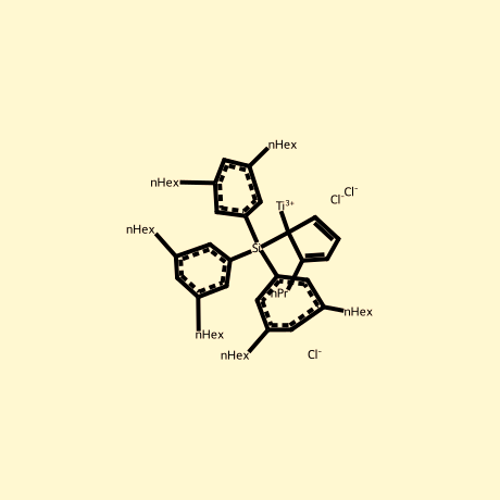 CCCCCCc1cc(CCCCCC)cc([Si](c2cc(CCCCCC)cc(CCCCCC)c2)(c2cc(CCCCCC)cc(CCCCCC)c2)[C]2([Ti+3])C=CC=C2CCC)c1.[Cl-].[Cl-].[Cl-]